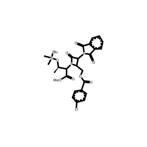 COC(=O)C([C@@H](C)O[Si](C)(C)C(C)(C)C)N1C(=O)C(N2C(=O)c3ccccc3C2=O)C1COC(=O)c1ccc(Cl)cc1